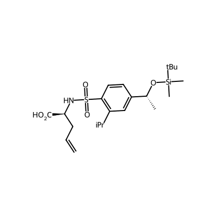 C=CC[C@H](NS(=O)(=O)c1ccc([C@@H](C)O[Si](C)(C)C(C)(C)C)cc1C(C)C)C(=O)O